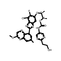 COc1cnc2c(-c3nc4c(Cl)c(F)c(O[C@@H](C)[C@@H](C)OC(=O)Nc5cnc(CCO)nc5)cc4s3)cc(C)cc2n1